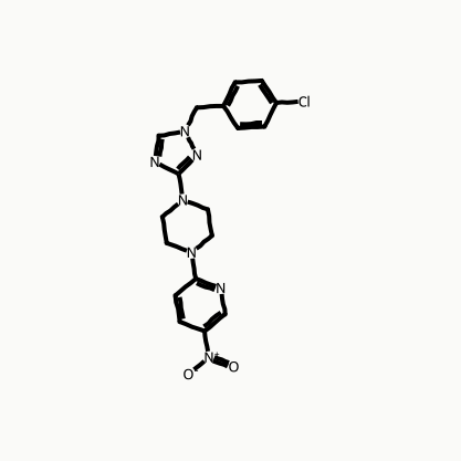 O=[N+]([O-])c1ccc(N2CCN(c3ncn(Cc4ccc(Cl)cc4)n3)CC2)nc1